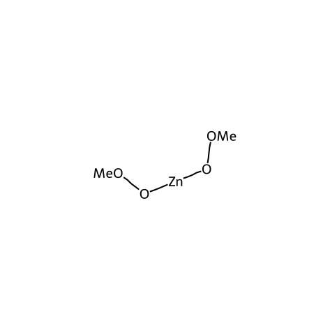 CO[O][Zn][O]OC